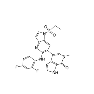 CCS(=O)(=O)n1ccc2nc(Nc3ccc(F)cc3F)c(-c3cn(C)c(=O)c4[nH]ccc34)cc21